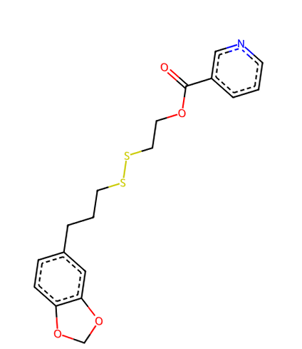 O=C(OCCSSCCCc1ccc2c(c1)OCO2)c1cccnc1